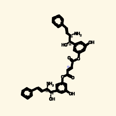 N[C@@H](C=Cc1ccccc1)[C@@H](O)c1cc(O)cc(OC(=O)/C=C/C(=O)Oc2cc(O)cc([C@H](O)[C@@H](N)C=Cc3ccccc3)c2)c1